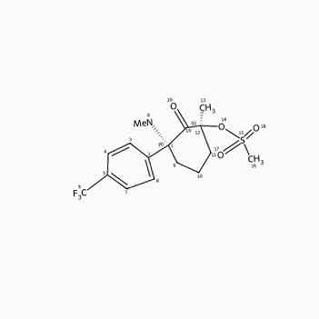 CN[C@@]1(c2ccc(C(F)(F)F)cc2)CCC[C@](C)(OS(C)(=O)=O)C1=O